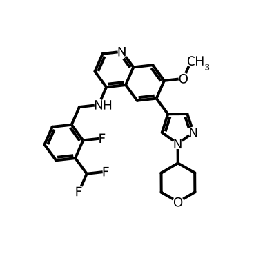 COc1cc2nccc(NCc3cccc(C(F)F)c3F)c2cc1-c1cnn(C2CCOCC2)c1